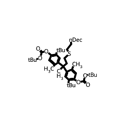 CCCCCCCCCCCCSCCC(C)(c1cc(C(C)(C)C)c(OC(=O)OC(C)(C)C)cc1C)c1cc(C(C)(C)C)c(OC(=O)OC(C)(C)C)cc1C